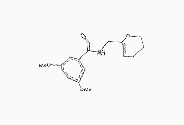 COc1cc(OC)cc(C(=O)NCC2=CCCCO2)c1